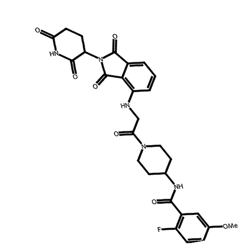 COc1ccc(F)c(C(=O)NC2CCN(C(=O)CNc3cccc4c3C(=O)N(C3CCC(=O)NC3=O)C4=O)CC2)c1